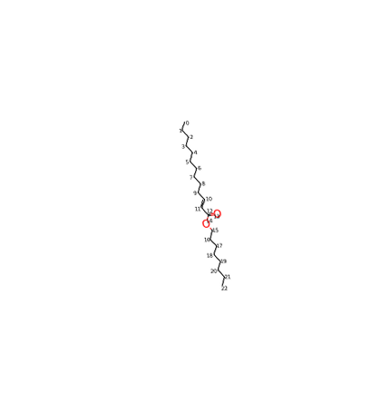 CCCCCCCCCC/C=C/C(=O)OCCCCCCCC